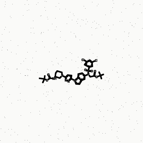 CC(C)(C)OC(=O)CN(c1ccc2c(ccn2-c2ccc(N3CCCC(NC(=O)OC(C)(C)C)C3)nn2)c1)S(=O)(=O)c1cc(Cl)cc(Cl)c1